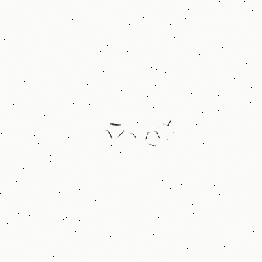 O=C1COc2ccc(C=Cc3ccc(C(=O)O)cc3)cc2N1